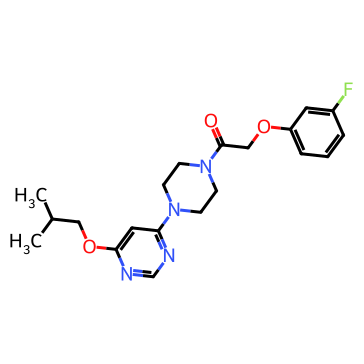 CC(C)COc1cc(N2CCN(C(=O)COc3cccc(F)c3)CC2)ncn1